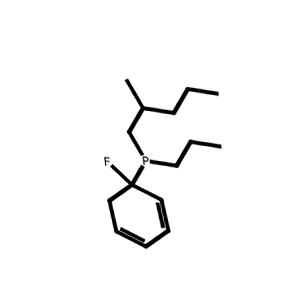 CCCC(C)CP(CCC)C1(F)C=CC=CC1